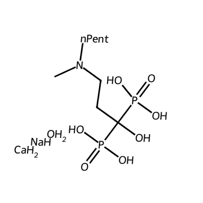 CCCCCN(C)CCC(O)(P(=O)(O)O)P(=O)(O)O.O.[CaH2].[NaH]